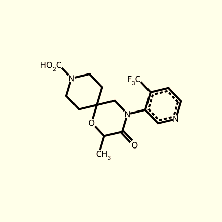 CC1OC2(CCN(C(=O)O)CC2)CN(c2cnccc2C(F)(F)F)C1=O